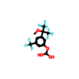 COC(c1cc(OB(O)O)cc(C(F)(F)F)c1)(C(F)(F)F)C(F)(F)F